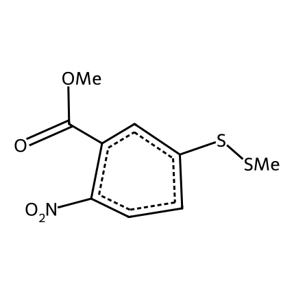 COC(=O)c1cc(SSC)ccc1[N+](=O)[O-]